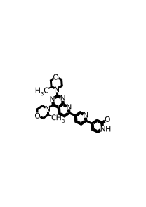 C[C@H]1COCCN1c1nc(N2CCOC[C@@H]2C)c2ccc(-c3ccc(-c4cc[nH]c(=O)c4)nc3)nc2n1